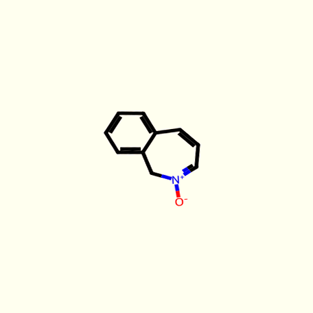 [O-][N+]1=CC=Cc2ccccc2C1